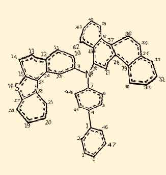 c1ccc(-c2ccc(N(c3ccc4ccc5sc6ccccc6c5c4c3)c3cc4c5ccccc5ccc4c4ccccc34)cc2)cc1